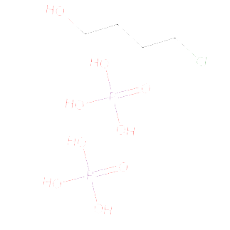 O=P(O)(O)O.O=P(O)(O)O.OCCCCCl